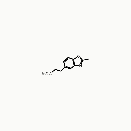 CCOC(=O)CCc1ccc2oc(C)nc2c1